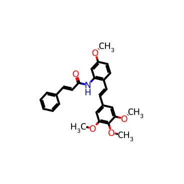 COc1ccc(C=Cc2cc(OC)c(OC)c(OC)c2)c(NC(=O)/C=C/c2ccccc2)c1